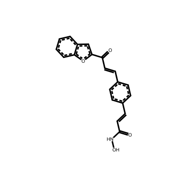 O=C(C=Cc1ccc(C=CC(=O)c2cc3ccccc3o2)cc1)NO